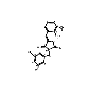 O=C1SC(=Cc2cccc(O)c2O)C(=O)N1Cc1cc(F)cc(F)c1